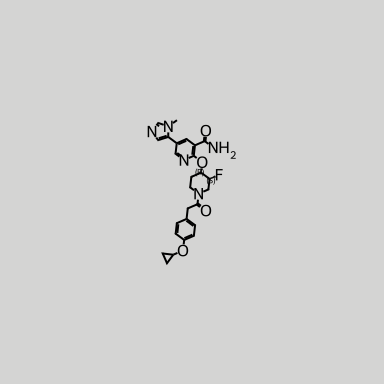 Cn1cncc1-c1cnc(O[C@@H]2CCN(C(=O)Cc3ccc(OC4CC4)cc3)C[C@@H]2F)c(C(N)=O)c1